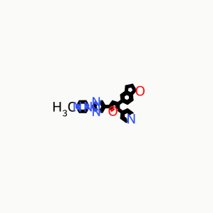 CN1CCN(c2ncc(-c3cc(-c4ccc5c(c4)CCC5=O)c(-c4ccncc4)o3)cn2)CC1